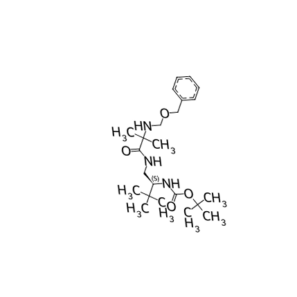 CC(C)(C)OC(=O)N[C@H](CNC(=O)C(C)(C)NCOCc1ccccc1)C(C)(C)C